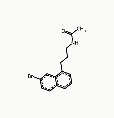 CC(=O)NCCCc1cccc2ccc(Br)cc12